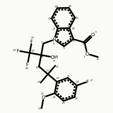 COC(=O)c1cn(CC(O)(CC(C)(C)c2cc(F)ccc2OC)C(F)(F)F)c2ccccc12